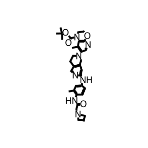 Cc1cc(Nc2cc3c(cn2)CCN(c2cnc4c(c2C)N(C(=O)OC(C)(C)C)CCO4)C3)ccc1NC(=O)CN1CCC1